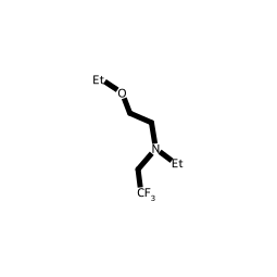 CCOCCN(CC)CC(F)(F)F